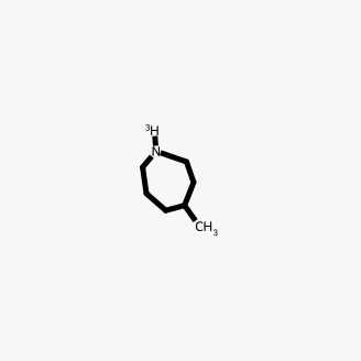 [3H]N1CCCC(C)CC1